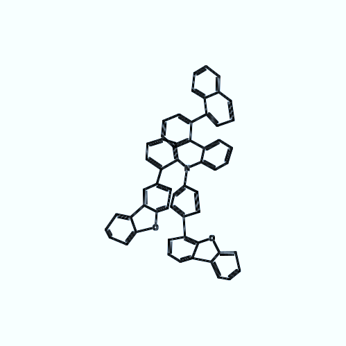 c1ccc(-c2cccc3ccccc23)c(-c2ccccc2N(c2ccc(-c3cccc4c3oc3ccccc34)cc2)c2ccccc2-c2ccc3oc4ccccc4c3c2)c1